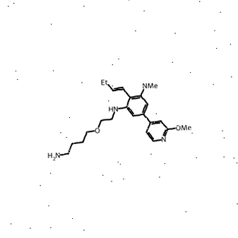 CC/C=C/c1c(NC)cc(-c2ccnc(OC)c2)cc1NCCOCCCCN